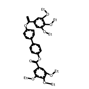 C=C(Oc1ccc(-c2ccc(OC(=O)c3cc(OCC)c(OCC)c(OCC)c3)cc2)cc1)c1cc(OCC)c(OCC)c(OCC)c1